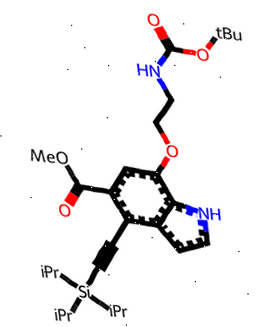 COC(=O)c1cc(OCCNC(=O)OC(C)(C)C)c2[nH]ccc2c1C#C[Si](C(C)C)(C(C)C)C(C)C